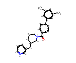 O=C(c1ccc(-c2cc(C(F)(F)F)cc(C(F)(F)F)c2)cc1)N1CCCC(Cc2cccnc2)C1